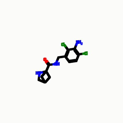 Nc1c(Cl)ccc(CNC(=O)C23CC(CN2)C3)c1Cl